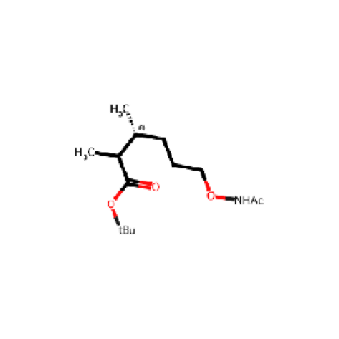 CC(=O)NOCCC[C@@H](C)C(C)C(=O)OC(C)(C)C